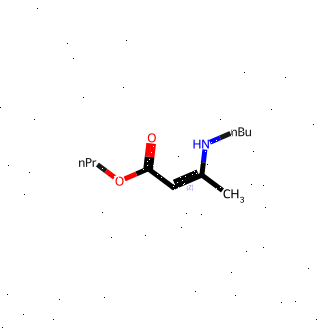 CCCCN/C(C)=C\C(=O)OCCC